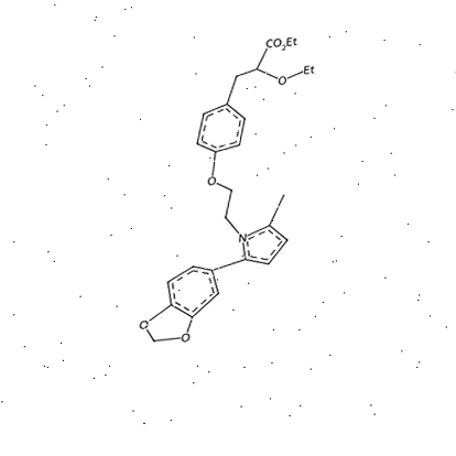 CCOC(=O)C(Cc1ccc(OCCn2c(C)ccc2-c2ccc3c(c2)OCO3)cc1)OCC